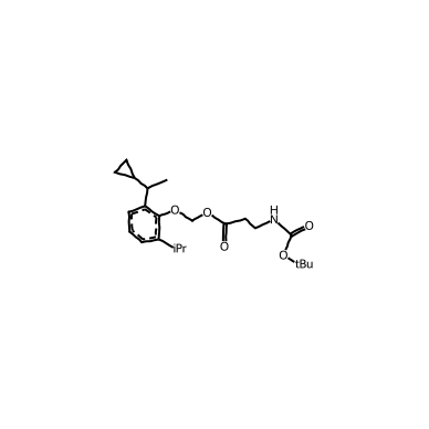 CC(C)c1cccc(C(C)C2CC2)c1OCOC(=O)CCNC(=O)OC(C)(C)C